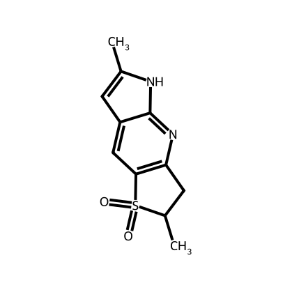 Cc1cc2cc3c(nc2[nH]1)CC(C)S3(=O)=O